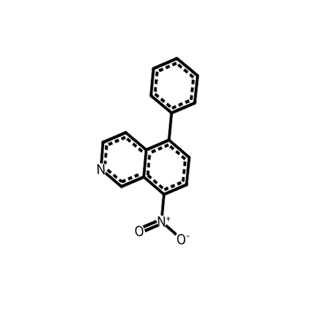 O=[N+]([O-])c1ccc(-c2ccccc2)c2ccncc12